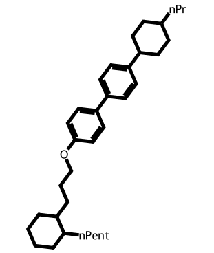 CCCCCC1CCCCC1CCCOc1ccc(-c2ccc(C3CCC(CCC)CC3)cc2)cc1